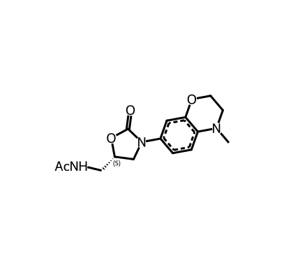 CC(=O)NC[C@H]1CN(c2ccc3c(c2)OCCN3C)C(=O)O1